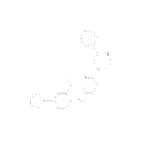 Nc1ncc(-c2ccsc2)cc1C(=O)c1cccc(N2CCNC(c3ccccc3)C2)n1